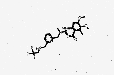 COc1cc2[nH]c(N(C)Cc3cccc(CNCC(F)(F)F)c3)nc(=O)c2c(C)c1OC